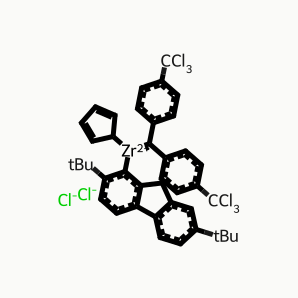 CC(C)(C)c1ccc2c(c1)Cc1c-2ccc(C(C)(C)C)[c]1[Zr+2](=[C](c1ccc(C(Cl)(Cl)Cl)cc1)c1ccc(C(Cl)(Cl)Cl)cc1)[CH]1C=CC=C1.[Cl-].[Cl-]